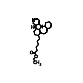 CCOC(=O)CCCCCC1CC[C@H]2C3=C1CC=C1C=CCCC1N3C1=CC=NC[C@@H]12